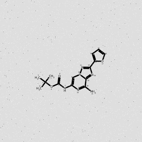 CC(C)(C)OC(=O)Nc1cn2nc(-c3ccco3)nc2c(N)n1